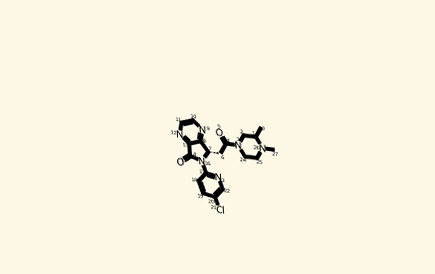 CC1CN(C(=O)C[C@H]2c3nccnc3C(=O)N2c2ccc(Cl)cn2)CCN1C